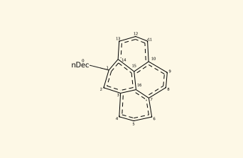 CCCCCCCCCCc1cc2cccc3ccc4[c]ccc1c4c32